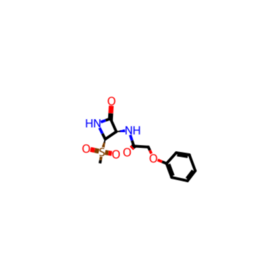 CS(=O)(=O)[C@H]1NC(=O)[C@H]1NC(=O)COc1ccccc1